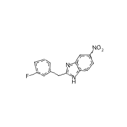 O=[N+]([O-])c1ccc2[nH]c(Cc3cccc(F)c3)nc2c1